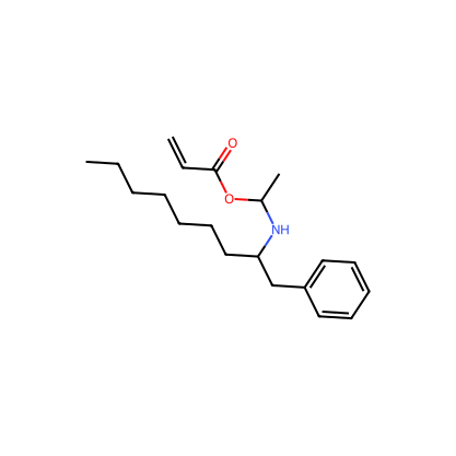 C=CC(=O)OC(C)NC(CCCCCCC)Cc1ccccc1